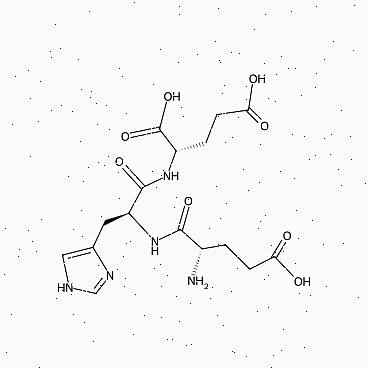 N[C@@H](CCC(=O)O)C(=O)N[C@@H](Cc1c[nH]cn1)C(=O)N[C@@H](CCC(=O)O)C(=O)O